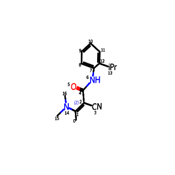 C/C(=C(\C#N)C(=O)Nc1ccccc1C(C)C)N(C)C